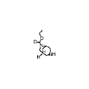 CCOC(=O)N1C[C@H]2CNCC1C2